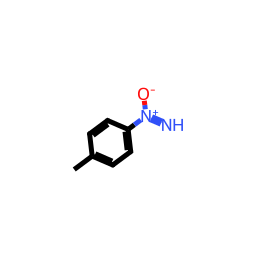 Cc1ccc([N+](=N)[O-])cc1